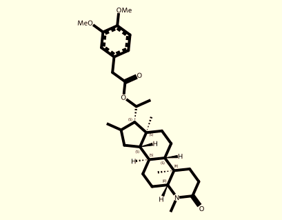 COc1ccc(CC(=O)OC(C)[C@H]2C(C)C[C@H]3[C@@H]4CC[C@H]5N(C)C(=O)CC[C@]5(C)[C@H]4CC[C@]23C)cc1OC